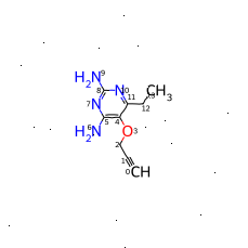 C#CCOc1c(N)nc(N)nc1CC